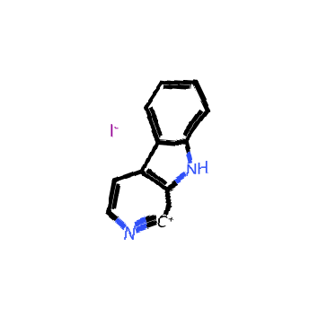 [C+]1=NC=Cc2c1[nH]c1ccccc21.[I-]